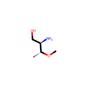 CO[C@H](C)[C@H](N)CO